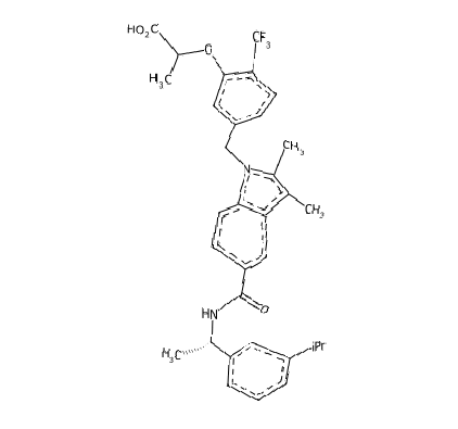 Cc1c(C)n(Cc2ccc(C(F)(F)F)c(OC(C)C(=O)O)c2)c2ccc(C(=O)N[C@@H](C)c3cccc(C(C)C)c3)cc12